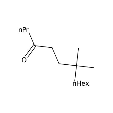 CCCCCCC(C)(C)CCC(=O)CCC